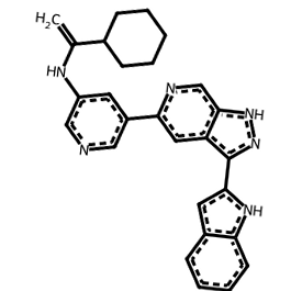 C=C(Nc1cncc(-c2cc3c(-c4cc5ccccc5[nH]4)n[nH]c3cn2)c1)C1CCCCC1